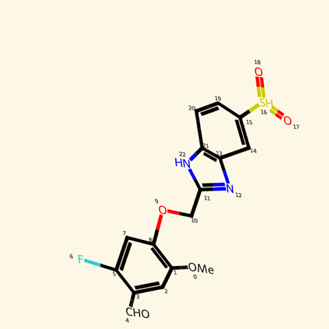 COc1cc(C=O)c(F)cc1OCc1nc2cc([SH](=O)=O)ccc2[nH]1